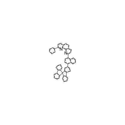 c1ccc(-c2ccc3ccc4ccc(-c5ccc(-c6ccc7c(c6)C6(c8ccccc8-c8ccccc86)c6ccccc6-7)c6ccccc56)nc4c3n2)cc1